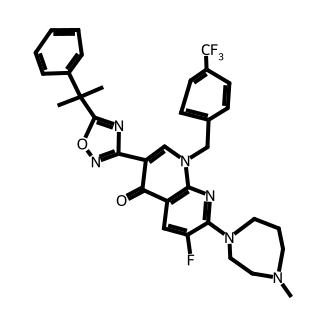 CN1CCCN(c2nc3c(cc2F)c(=O)c(-c2noc(C(C)(C)c4ccccc4)n2)cn3Cc2ccc(C(F)(F)F)cc2)CC1